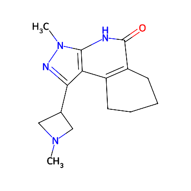 CN1CC(c2nn(C)c3[nH]c(=O)c4c(c23)CCCC4)C1